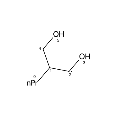 CCCC([CH]O)CO